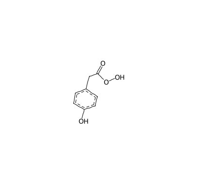 O=C(Cc1ccc(O)cc1)OO